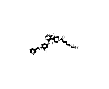 CC(C)CNC/C=C/C(=O)N1CCc2c(sc3ncnc(Nc4ccc(OCc5cccnc5)c(Cl)c4)c23)C1